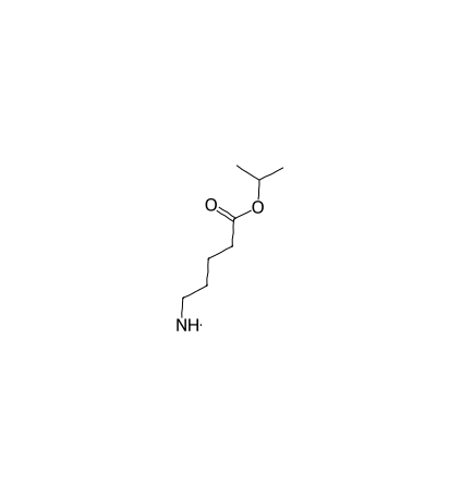 CC(C)OC(=O)CCCC[NH]